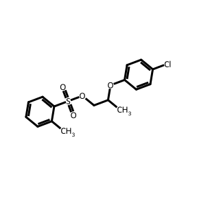 Cc1ccccc1S(=O)(=O)OCC(C)Oc1ccc(Cl)cc1